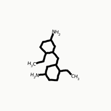 CCC1CCC(N)CC1CC1CC(N)CCC1CC